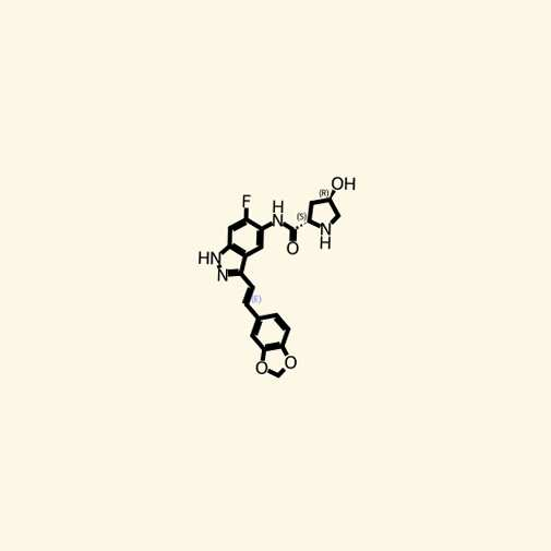 O=C(Nc1cc2c(/C=C/c3ccc4c(c3)OCO4)n[nH]c2cc1F)[C@@H]1C[C@@H](O)CN1